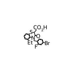 CCc1cccc2c1N(Cc1ccc(Br)cc1F)C(=O)C(CC(=O)O)S2